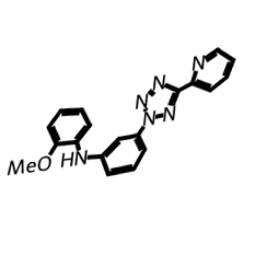 COc1ccccc1Nc1cccc(-n2nnc(-c3ccccn3)n2)c1